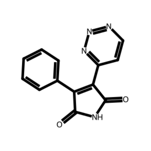 O=C1NC(=O)C(c2ccnnn2)=C1c1ccccc1